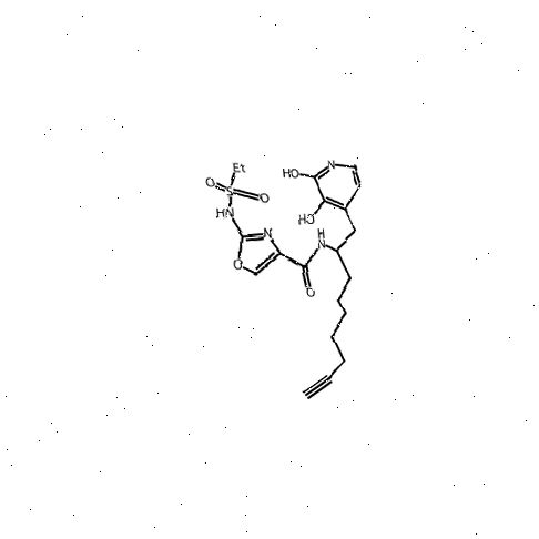 C#CCCCCCC(Cc1ccnc(O)c1O)NC(=O)c1coc(NS(=O)(=O)CC)n1